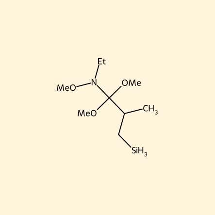 CCN(OC)C(OC)(OC)C(C)C[SiH3]